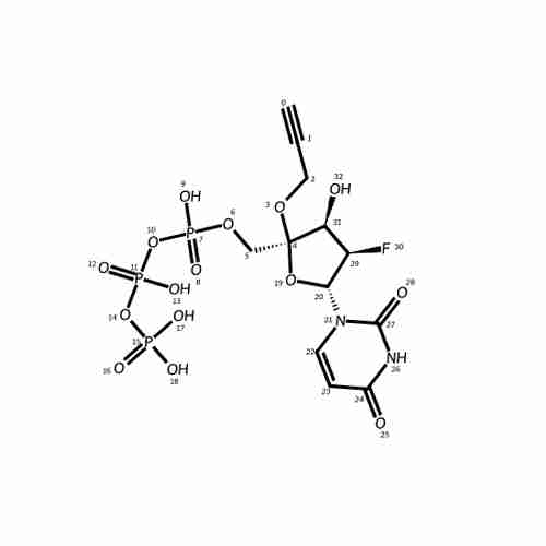 C#CCO[C@]1(COP(=O)(O)OP(=O)(O)OP(=O)(O)O)O[C@@H](n2ccc(=O)[nH]c2=O)[C@H](F)[C@@H]1O